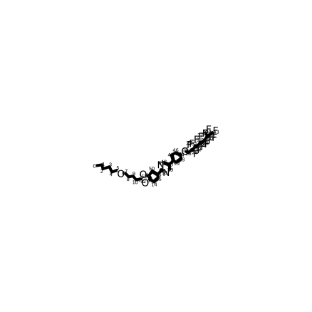 CCCCCCOCCCCC1Oc2ccc(-c3ncc(-c4ccc(OCC(F)(F)C(F)(F)C(F)(F)C(F)(F)C(F)(F)C(F)(F)F)cc4)cn3)cc2O1